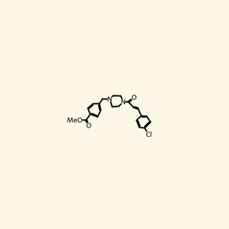 COC(=O)c1ccc(CN2CCN(C(=O)C=Cc3ccc(Cl)cc3)CC2)cc1